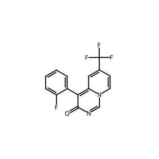 O=c1ncn2ccc(C(F)(F)F)cc2c1-c1ccccc1F